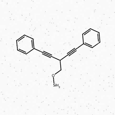 [SiH3]OCC(C#Cc1ccccc1)C#Cc1ccccc1